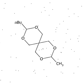 CCCCC1OCC2(COC(C)OC2)CO1